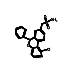 NS(=O)(=O)Cc1ccc2c(c1)C(c1ccccc1)Oc1cccc(Cl)c1-2